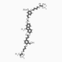 C=C(C)C(=O)OCCCCOc1ccc(C=CC(=O)Oc2ccc3c(c2)C(C)c2cc(OCOC=Cc4ccc(OCCCCOC(=O)C(=C)C)c(OC)c4)ccc2-3)cc1CO